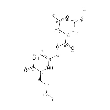 CSCC[C@H](NC(=O)COC(=O)[C@@H](CCSC)NC(C)=O)C(=O)O